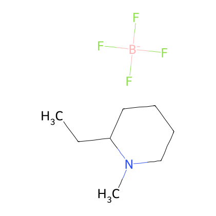 CCC1CCCCN1C.F[B-](F)(F)F